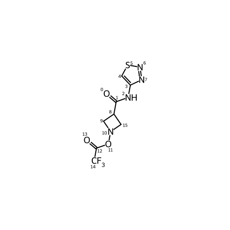 O=C(Nc1csnn1)C1CN(OC(=O)C(F)(F)F)C1